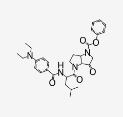 CCN(CC)c1ccc(C(=O)NC(CC(C)C)C(=O)N2CCC3C2C(=O)CN3C(=O)Oc2ccccc2)cc1